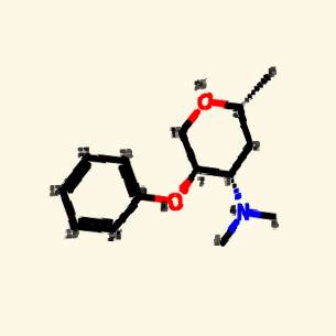 C[C@@H]1C[C@H](N(C)C)[C@@H](Oc2ccccc2)CO1